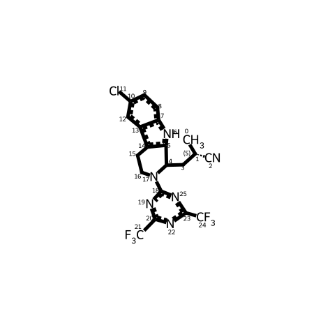 C[C@H](C#N)CC1c2[nH]c3ccc(Cl)cc3c2CCN1c1nc(C(F)(F)F)nc(C(F)(F)F)n1